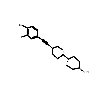 CCCCC[C@H]1CC[C@H]([C@H]2CC[C@H](C#Cc3ccc(CC)c(F)c3)CC2)CC1